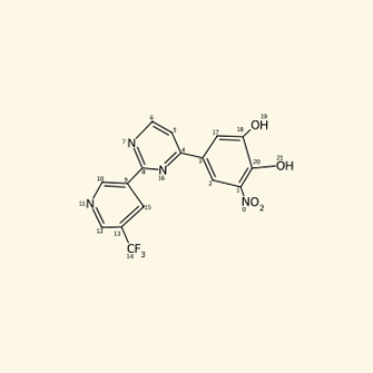 O=[N+]([O-])c1cc(-c2ccnc(-c3cncc(C(F)(F)F)c3)n2)cc(O)c1O